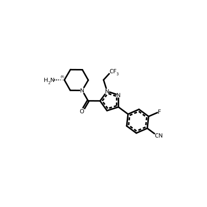 N#Cc1ccc(-c2cc(C(=O)N3CCC[C@@H](N)C3)n(CC(F)(F)F)n2)cc1F